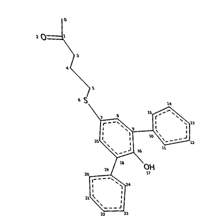 CC(=O)CCCSc1cc(-c2ccccc2)c(O)c(-c2ccccc2)c1